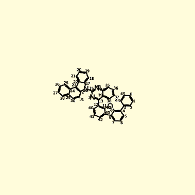 c1ccc(-c2cccc3c2oc2c(-c4nc(-n5c6ccccc6c6c7ccccc7ccc65)nc5ccccc45)cccc23)cc1